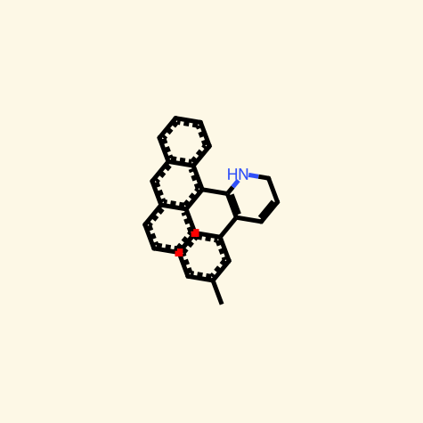 Cc1cccc(C2=C(c3c4ccccc4cc4ccccc34)NCC=C2)c1